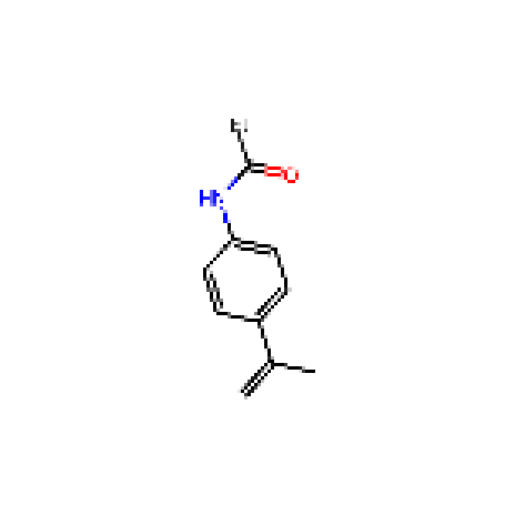 C=C(C)c1ccc(NC(=O)CC)cc1